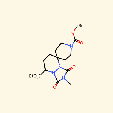 CCOC(=O)C1CCC2(CCN(C(=O)OC(C)(C)C)CC2)n2c(=O)n(C)c(=O)n21